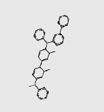 CC1C=C(N(C)c2ccccc2)C=CC1C1=CC(C)C(N(c2ccccc2)c2cccc(-c3ccccc3)c2)C=C1